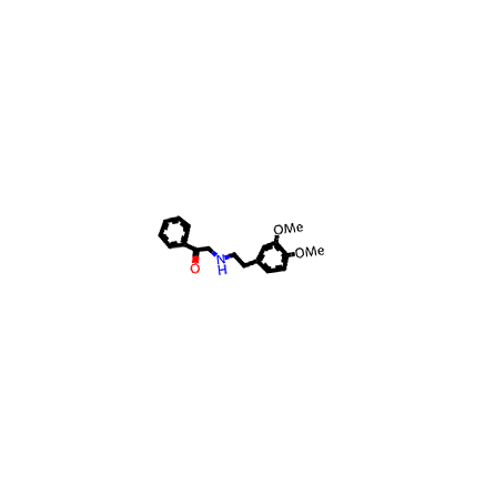 COc1ccc(CCNCC(=O)c2ccccc2)cc1OC